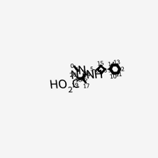 Cc1nc(NC[C@H]2C[C@@H](c3ccccc3)C2)c(C)c(C(=O)O)n1